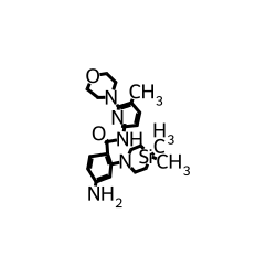 Cc1ccc(NC(=O)c2ccc(N)cc2N2CC[Si](C)(C)CC2)nc1N1CCOCC1